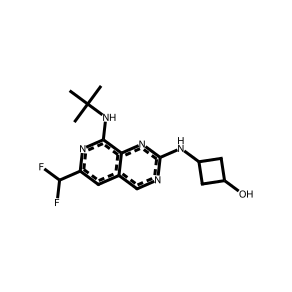 CC(C)(C)Nc1nc(C(F)F)cc2cnc(NC3CC(O)C3)nc12